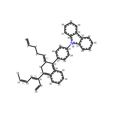 C=CCC/C=C1\CC(/C(C=C)=C/C=C\C)=c2ccccc2=C1c1ccc(-n2c3ccccc3c3ccccc32)cc1